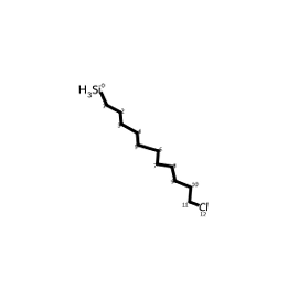 [SiH3]CCCCCCCCCCCCl